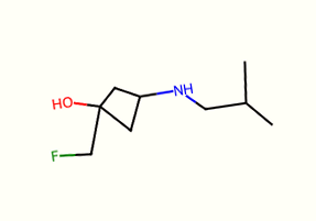 CC(C)CNC1CC(O)(CF)C1